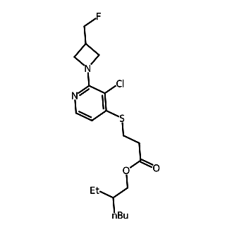 CCCCC(CC)COC(=O)CCSc1ccnc(N2CC(CF)C2)c1Cl